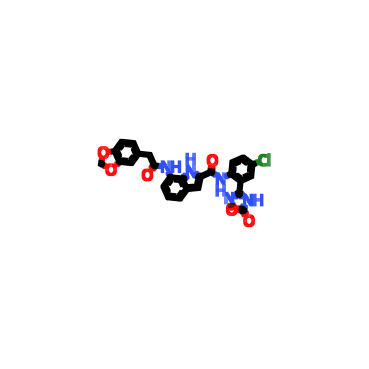 O=C(Cc1ccc2c(c1)OCO2)Nc1cccc2cc(C(=O)Nc3ccc(Cl)cc3-c3noc(=O)[nH]3)[nH]c12